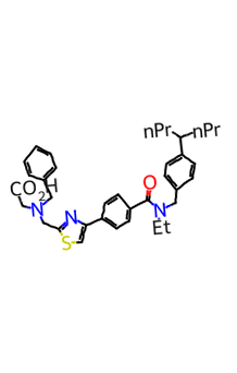 CCCC(CCC)c1ccc(CN(CC)C(=O)c2ccc(-c3csc(CN(CC(=O)O)Cc4ccccc4)n3)cc2)cc1